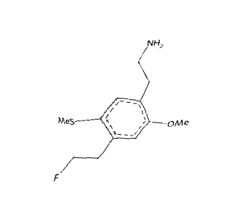 COc1cc(CCF)c(SC)cc1CCN